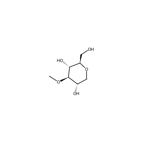 CO[C@H]1[C@H](O)[C@@H](CO)O[CH][C@@H]1O